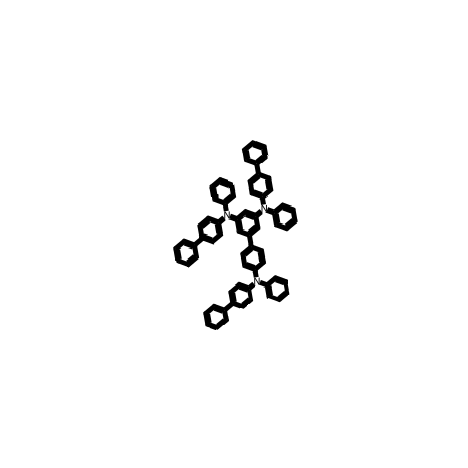 c1ccc(-c2ccc(N(c3ccccc3)c3ccc(-c4cc(N(c5ccccc5)c5ccc(-c6ccccc6)cc5)cc(N(c5ccccc5)c5ccc(-c6ccccc6)cc5)c4)cc3)cc2)cc1